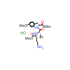 CNC(=O)[C@H](Cc1ccc(OC)cc1)NC(=O)[C@H](CC(C)C)NC(CCCCN)C(=O)OC.Cl